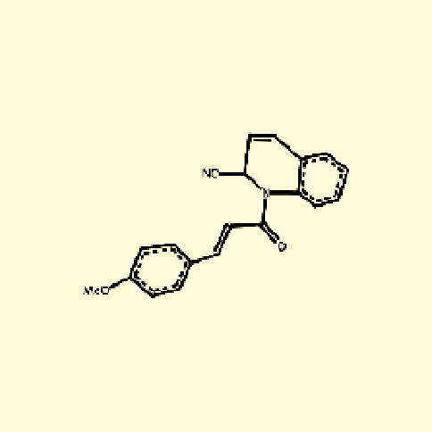 COc1ccc(C=CC(=O)N2c3ccccc3C=CC2C#N)cc1